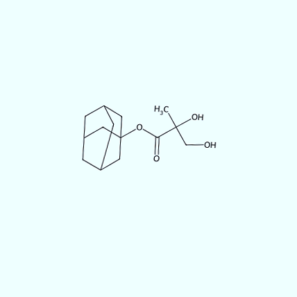 CC(O)(CO)C(=O)OC12CC3CC(CC(C3)C1)C2